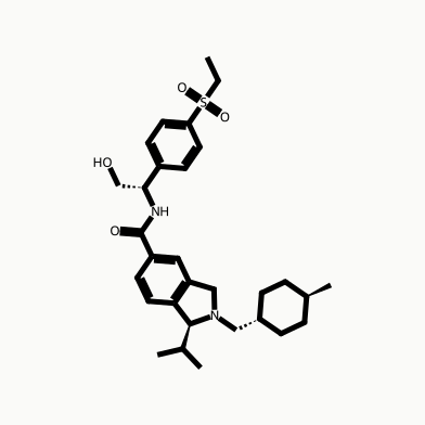 CCS(=O)(=O)c1ccc([C@@H](CO)NC(=O)c2ccc3c(c2)CN(C[C@H]2CC[C@H](C)CC2)[C@H]3C(C)C)cc1